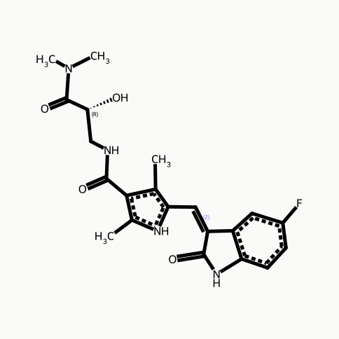 Cc1[nH]c(/C=C2\C(=O)Nc3ccc(F)cc32)c(C)c1C(=O)NC[C@@H](O)C(=O)N(C)C